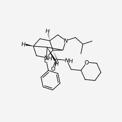 CC(C)CN1C[C@@H]2C[C@H]3CN[C@]2(C(=O)NCC2CCCCO2)C1[C@@H]3Cc1ccccc1